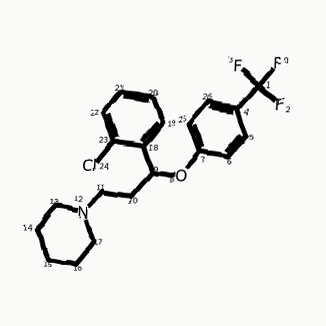 FC(F)(F)c1ccc(OC(CCN2CCCCC2)c2ccccc2Cl)cc1